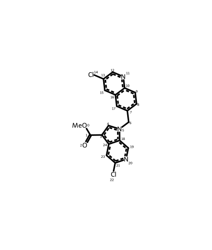 COC(=O)c1cn(Cc2ccc3ncc(Cl)cc3c2)c2cnc(Cl)cc12